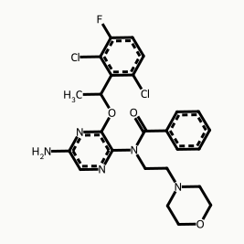 CC(Oc1nc(N)cnc1N(CCN1CCOCC1)C(=O)c1ccccc1)c1c(Cl)ccc(F)c1Cl